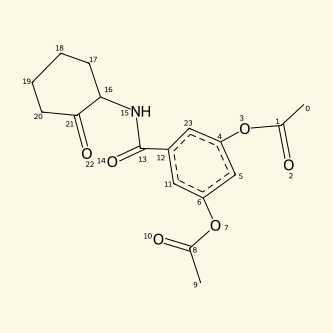 CC(=O)Oc1cc(OC(C)=O)cc(C(=O)NC2CCCCC2=O)c1